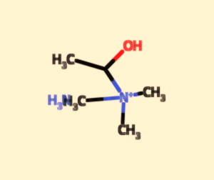 CC(O)[N+](C)(C)C.N